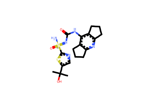 CC(C)(O)c1cnc([S@](N)(=O)=NC(=O)Nc2c3c(nc4c2CCC4)CCC3)s1